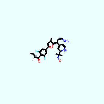 CC[C@@H](C)C(=O)c1c(F)cc(C2=CC(C)/C(=C(\C=C/N)C3=CC(C(C)(C)N=O)NC=C3)O2)cc1F